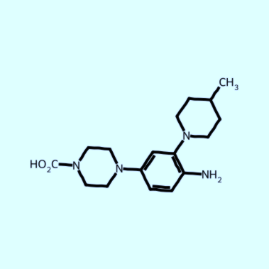 CC1CCN(c2cc(N3CCN(C(=O)O)CC3)ccc2N)CC1